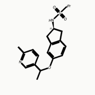 Cc1ccc(C(C)Oc2ccc3c(c2)C[C@@H](NS(=O)(=O)C(C)C)C3)cn1